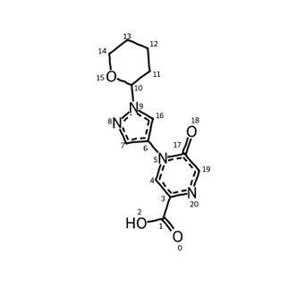 O=C(O)c1cn(-c2cnn(C3CCCCO3)c2)c(=O)cn1